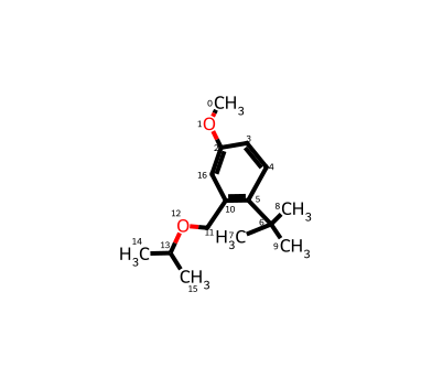 COc1ccc(C(C)(C)C)c(COC(C)C)c1